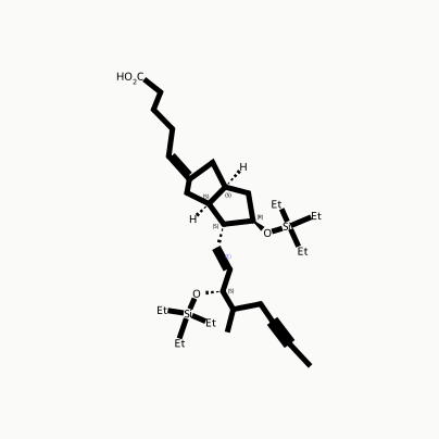 CC#CCC(C)[C@@H](/C=C/[C@@H]1[C@H]2CC(=CCCCC(=O)O)C[C@H]2C[C@H]1O[Si](CC)(CC)CC)O[Si](CC)(CC)CC